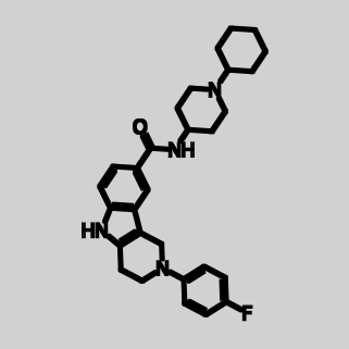 O=C(NC1CCN(C2CCCCC2)CC1)c1ccc2[nH]c3c(c2c1)CN(c1ccc(F)cc1)CC3